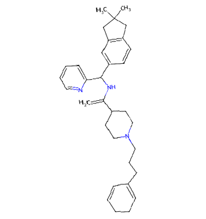 C=C(NC(c1ccc2c(c1)CC(C)(C)C2)c1ccccn1)C1CCN(CCCC2=CCCC=C2)CC1